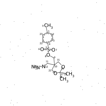 Cc1ccc(S(=O)(=O)OCC2(CN=[N+]=[N-])COC(C)(C)OC2)cc1